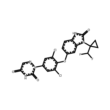 O=c1cnn(-c2cc(Cl)c(Oc3ccc4[nH]c(=O)n(C5(C(F)F)CC5)c4c3)c(Cl)c2)c(=O)[nH]1